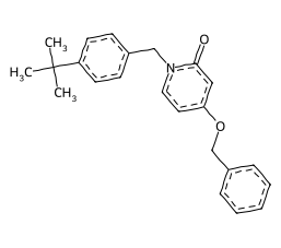 CC(C)(C)c1ccc(Cn2ccc(OCc3ccccc3)cc2=O)cc1